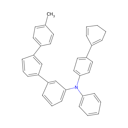 Cc1ccc(-c2cccc(-c3cccc(N(c4ccccc4)c4ccc(C5=CCCC=C5)cc4)c3)c2)cc1